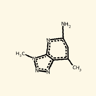 Cc1cc(N)nc2c1nnn2C